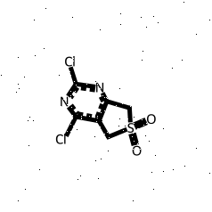 O=S1(=O)Cc2nc(Cl)nc(Cl)c2C1